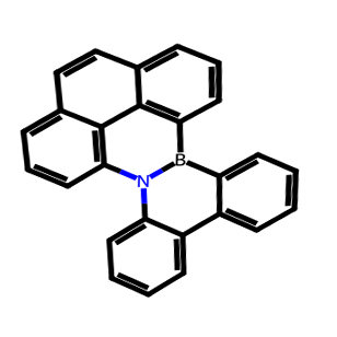 c1ccc2c(c1)B1c3cccc4ccc5cccc(c5c34)N1c1ccccc1-2